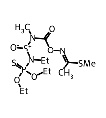 CCOP(=S)(OCC)N(CC)[S+]([O-])N(C)C(=O)ON=C(C)SC